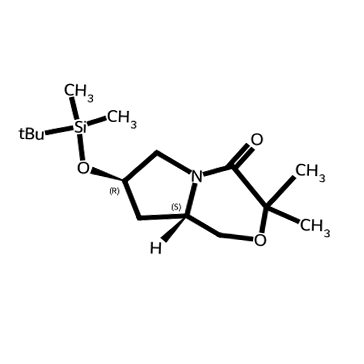 CC1(C)OC[C@@H]2C[C@@H](O[Si](C)(C)C(C)(C)C)CN2C1=O